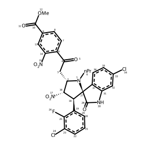 CCCN1[C@@H](CC(=O)c2ccc(C(=O)OC)cc2[N+](=O)[O-])[C@@H]([N+](=O)[O-])[C@H](c2cccc(Cl)c2F)[C@]12C(=O)Nc1cc(Cl)ccc12